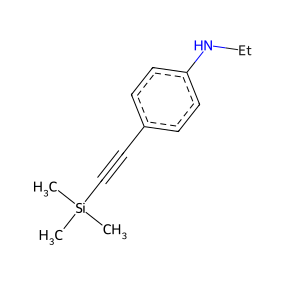 CCNc1ccc(C#C[Si](C)(C)C)cc1